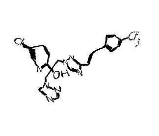 OC(Cn1cncn1)(Cn1cnc(C=Cc2ccc(C(F)(F)F)cc2)n1)c1ccc(Cl)cn1